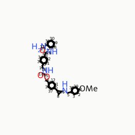 COc1ccc(CN[C@H]2CC2c2ccc(COC(=O)NCc3ccc(C(=O)Nc4ccccc4N)cc3)cc2)cc1